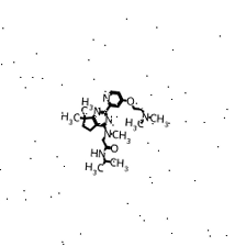 CC(C)NC(=O)CN(C)c1nc(-c2cc(OCCN(C)C)ccn2)nc2c1CCC2(C)C